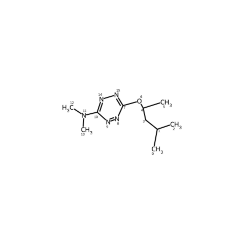 CC(C)CC(C)Oc1nnc(N(C)C)nn1